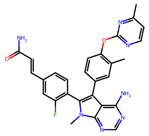 Cc1ccnc(Oc2ccc(-c3c(-c4ccc(C=CC(N)=O)cc4F)n(C)c4ncnc(N)c34)cc2C)n1